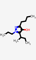 CCCCc1nn(CCC)c(C(C)CC)c1O